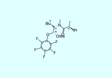 CC[C@H](C)[C@@H]([C@H](OC)Oc1c(F)c(F)c(F)c(F)c1F)N(C)C(=O)[C@@H](C)C(C)C